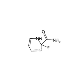 NC(=O)C1(F)C=CC=CN1